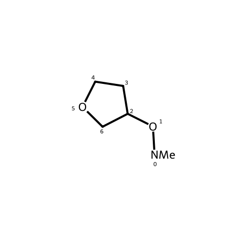 CNOC1CCOC1